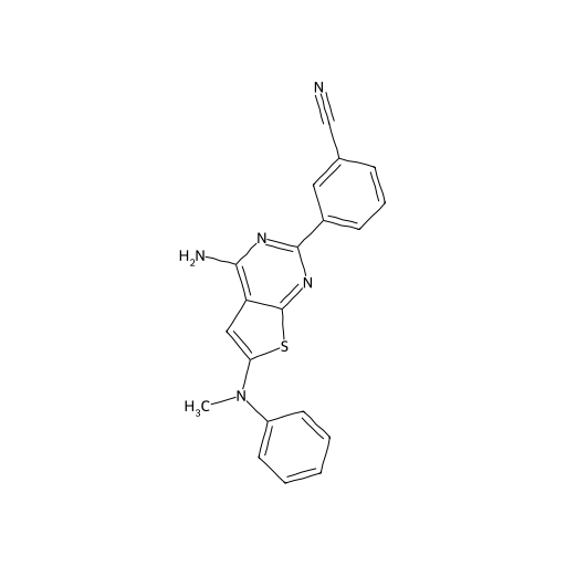 CN(c1ccccc1)c1cc2c(N)nc(-c3cccc(C#N)c3)nc2s1